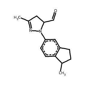 CC1=NN(c2ccc3c(c2)CCC3C)C(C=O)C1